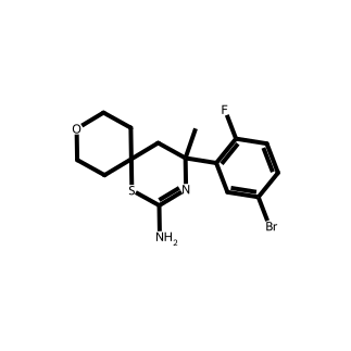 CC1(c2cc(Br)ccc2F)CC2(CCOCC2)SC(N)=N1